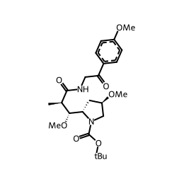 COc1ccc(C(=O)CNC(=O)[C@H](C)[C@@H](OC)[C@@H]2C[C@@H](OC)CN2C(=O)OC(C)(C)C)cc1